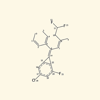 C\C=C/C(=C\C)C(/C=C(/C)CC(F)F)=C1\c2cc(Cl)cc(F)c21